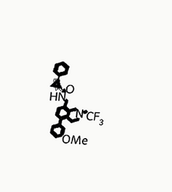 COc1cccc(-c2ccc(CNC(=O)[C@@H]3C[C@H]3c3ccccc3)c3c2CCN(CC(F)(F)F)C3)c1